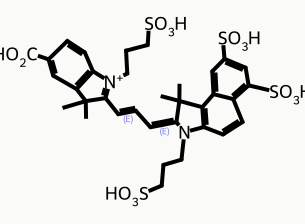 CC1(C)C(/C=C/C=C2/N(CCCS(=O)(=O)O)c3ccc4c(S(=O)(=O)O)cc(S(=O)(=O)O)cc4c3C2(C)C)=[N+](CCCS(=O)(=O)O)c2ccc(C(=O)O)cc21